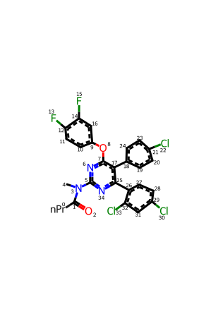 CCCC(=O)N(C)c1nc(Oc2ccc(F)c(F)c2)c(-c2ccc(Cl)cc2)c(-c2ccc(Cl)cc2Cl)n1